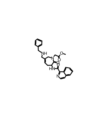 COC(=O)CN1CC(CNCc2ccccc2)=CCC(NC(=O)c2nccc3ccccc23)C1=O